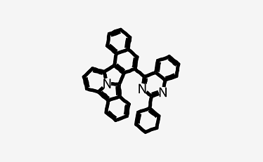 C1=CC(c2nc(-c3cc4ccccc4c4c3c3c5ccccc5c5cccc4n53)c3ccccc3n2)=CCC1